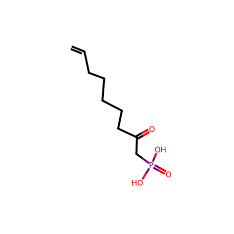 C=CCCCCCC(=O)CP(=O)(O)O